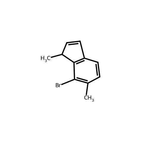 Cc1ccc2c(c1Br)C(C)C=C2